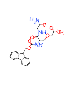 NC(=O)CNC(=O)[C@H](COCC(=O)O)NC(=O)OCC1c2ccccc2-c2ccccc21